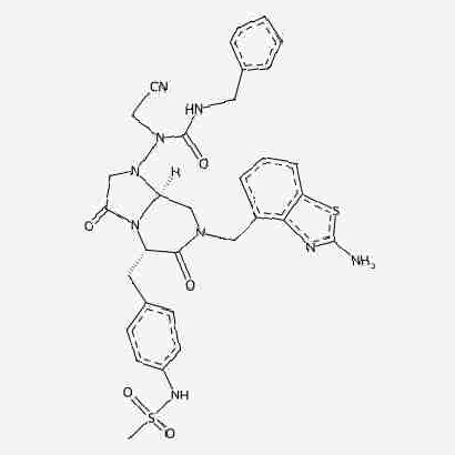 CS(=O)(=O)Nc1ccc(C[C@H]2C(=O)N(Cc3cccc4sc(N)nc34)C[C@H]3N2C(=O)CN3N(CC#N)C(=O)NCc2ccccc2)cc1